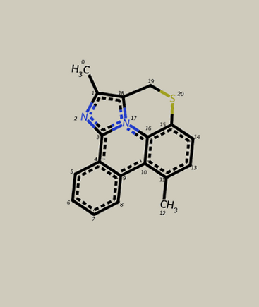 Cc1nc2c3ccccc3c3c(C)ccc4c3n2c1CS4